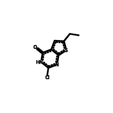 CCc1cc2c(=O)[nH]c(Cl)nc2s1